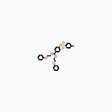 Cc1ccc(S(=O)(=O)Oc2ccc(C(OCCOc3ccccc3)OCCOc3ccccc3)cc2)cc1